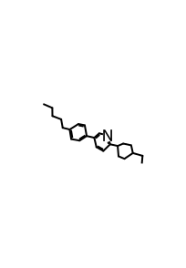 CCCCCc1ccc(-c2ccc(C3CCC(CC)CC3)nc2)cc1